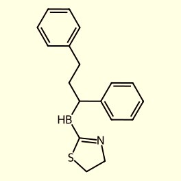 B(C1=NCCS1)C(CCc1ccccc1)c1ccccc1